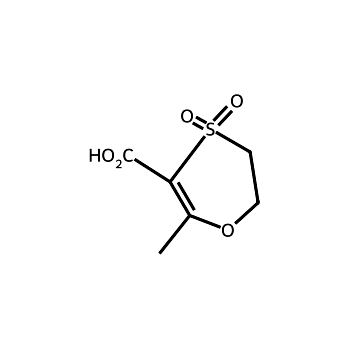 CC1=C(C(=O)O)S(=O)(=O)CCO1